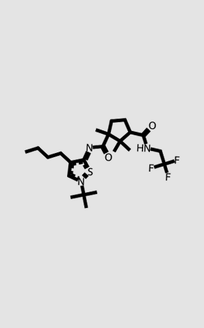 CCCCc1cn(C(C)(C)C)s/c1=N\C(=O)C1(C)CCC(C(=O)NCC(F)(F)F)C1(C)C